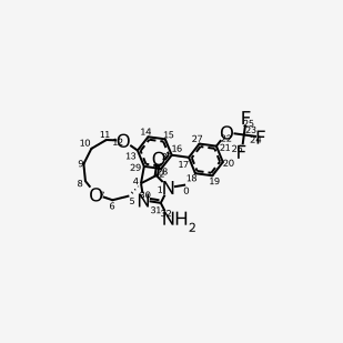 CN1C(=O)[C@@]2(CCOCCCCOc3ccc(-c4cccc(OC(F)(F)F)c4)cc32)N=C1N